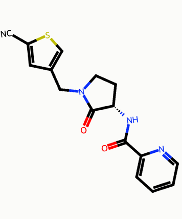 N#Cc1cc(CN2CC[C@H](NC(=O)c3ccccn3)C2=O)cs1